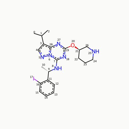 CC(C)c1cnn2c(N[C@@H](C)c3ccccc3I)nc(O[C@@H]3CCCNC3)nc12